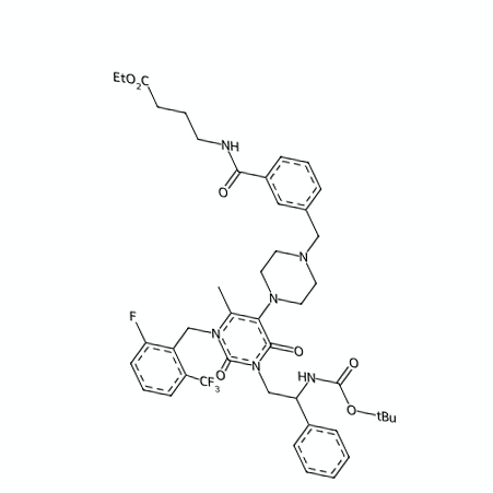 CCOC(=O)CCCNC(=O)c1cccc(CN2CCN(c3c(C)n(Cc4c(F)cccc4C(F)(F)F)c(=O)n(CC(NC(=O)OC(C)(C)C)c4ccccc4)c3=O)CC2)c1